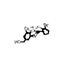 Cc1c(Br)cccc1-c1nc2cc(CO)cc(C)c2o1